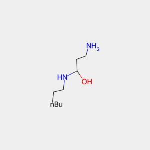 CCCCCCNC(O)CCN